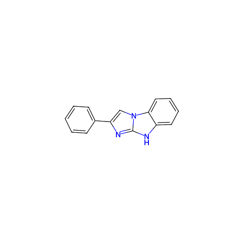 c1ccc(-c2cn3c(n2)[nH]c2ccccc23)cc1